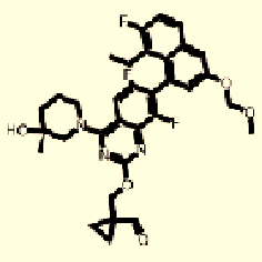 CCc1c(F)ccc2cc(OCOC)cc(-c3c(F)cc4c(N5CCC[C@@](C)(O)C5)nc(OCC5(C=O)CC5)nc4c3F)c12